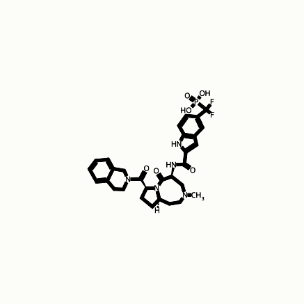 CN1CC[C@H]2CC[C@@H](C(=O)N3CCc4ccccc4C3)N2C(=O)[C@@H](NC(=O)c2cc3cc(C(F)(F)P(=O)(O)O)ccc3[nH]2)C1